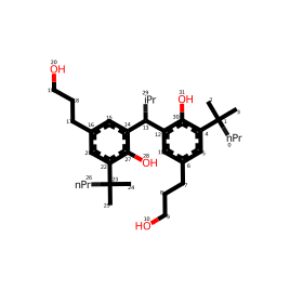 CCCC(C)(C)c1cc(CCCO)cc(C(c2cc(CCCO)cc(C(C)(C)CCC)c2O)C(C)C)c1O